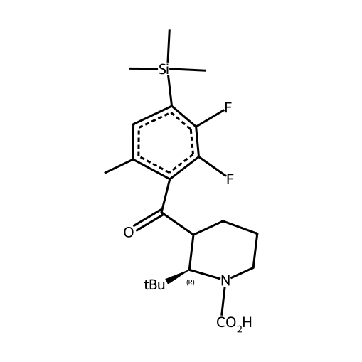 Cc1cc([Si](C)(C)C)c(F)c(F)c1C(=O)C1CCCN(C(=O)O)[C@H]1C(C)(C)C